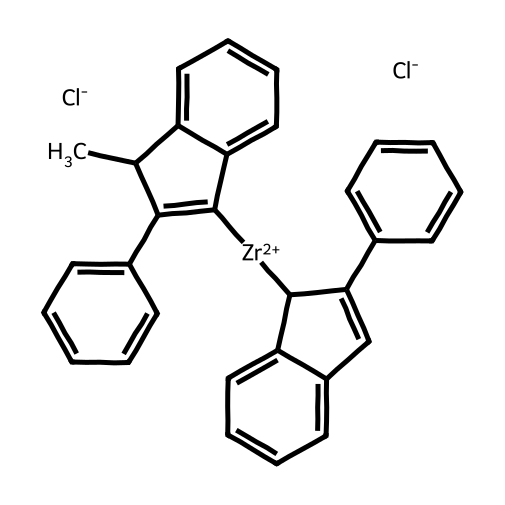 CC1C(c2ccccc2)=[C]([Zr+2][CH]2C(c3ccccc3)=Cc3ccccc32)c2ccccc21.[Cl-].[Cl-]